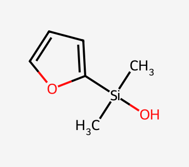 C[Si](C)(O)c1ccco1